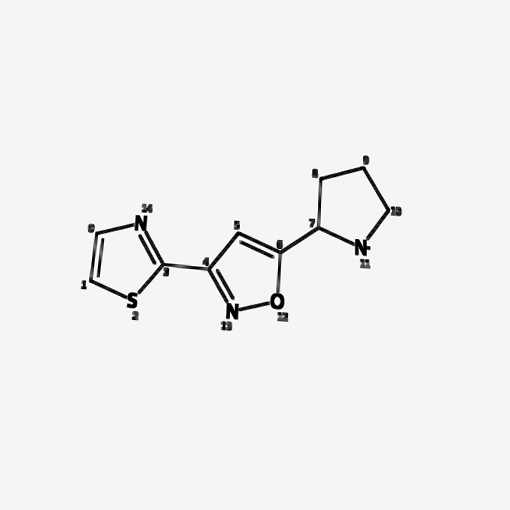 c1csc(-c2cc(C3CCC[N]3)on2)n1